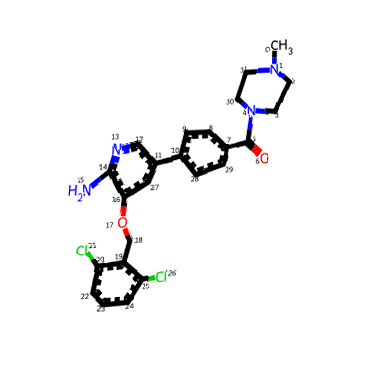 CN1CCN(C(=O)c2ccc(-c3cnc(N)c(OCc4c(Cl)cccc4Cl)c3)cc2)CC1